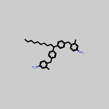 CCCCCCCCCC(c1ccc(Cc2ccc(N)cc2C)cc1)c1ccc(Cc2ccc(N)cc2C)cc1